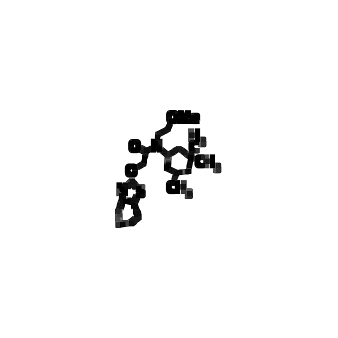 COCCN(C(=O)COc1nc2ccccc2s1)C1=CC(C)CC(C)(C)C1